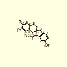 N#C/C=C1/c2cc(Br)ccc2CC12CCc1cc(F)c(F)cc1C2